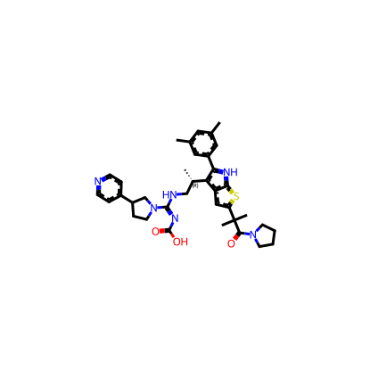 Cc1cc(C)cc(-c2[nH]c3sc(C(C)(C)C(=O)N4CCCC4)cc3c2[C@@H](C)CNC(=NC(=O)O)N2CCC(c3ccncc3)C2)c1